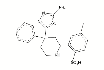 Cc1ccc(S(=O)(=O)O)cc1.Nc1nnc(C2(c3ccccc3)CCNCC2)o1